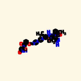 CCc1cc(Nc2ncc(-c3cn[nH]c3)c(Nc3ccccc3P(C)(C)=O)n2)c(OC)cc1N1CCC(N2CCN(CCOc3cccc4c3CN(C3CCC(=O)NC3=O)C4=O)CC2)CC1